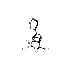 CS(=O)(=O)N1c2ccc(cc2-c2cccnc2)C1C(=O)O